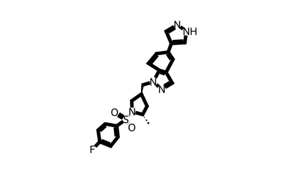 C[C@H]1C[C@H](Cn2ncc3cc(-c4cn[nH]c4)ccc32)CN1S(=O)(=O)c1ccc(F)cc1